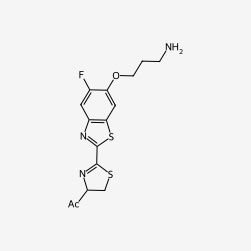 CC(=O)C1CSC(c2nc3cc(F)c(OCCCN)cc3s2)=N1